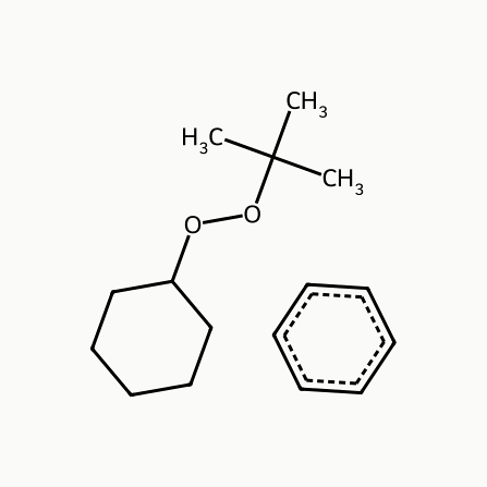 CC(C)(C)OOC1CCCCC1.c1ccccc1